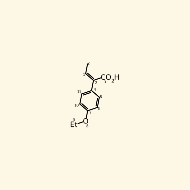 CC=C(C(=O)O)c1ccc(OCC)cc1